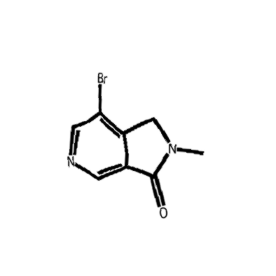 CN1Cc2c(Br)cncc2C1=O